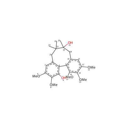 COc1cc2c(c(O)c1OC)-c1c(cc(OC)c(OC)c1OC)CC(C)(O)C(C)(C)C2